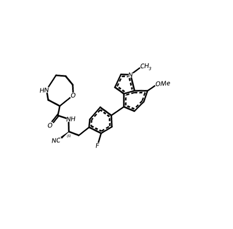 COc1ccc(-c2ccc(C[C@@H](C#N)NC(=O)C3CNCCCO3)c(F)c2)c2ccn(C)c12